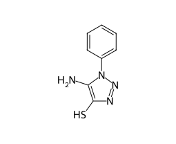 Nc1c(S)nnn1-c1ccccc1